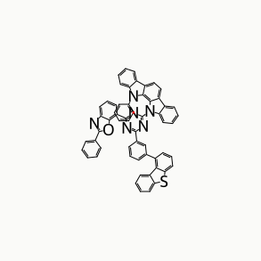 c1ccc(-c2nc3cccc(-c4nc(-c5cccc(-c6cccc7sc8ccccc8c67)c5)nc(-n5c6ccccc6c6ccc7c8ccccc8n(-c8ccccc8)c7c65)n4)c3o2)cc1